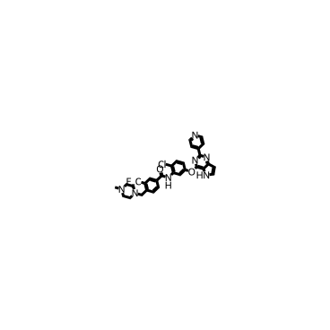 CN1CCN(Cc2ccc(C(=O)Nc3cc(Oc4nc(-c5ccncc5)nc5cc[nH]c45)ccc3Cl)cc2C(F)(F)F)CC1